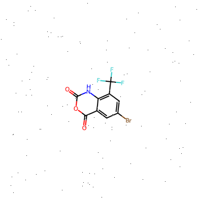 O=c1[nH]c2c(C(F)(F)F)cc(Br)cc2c(=O)o1